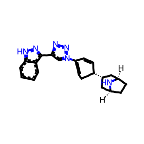 C1=CC([C@@H]2C[C@H]3CC[C@@H](C2)N3)CC=C1n1cc(-c2n[nH]c3ccccc23)nn1